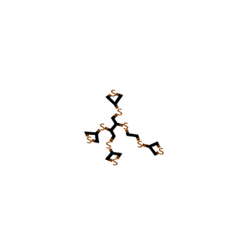 C(CSC(CSC1CSC1)C(CSC1CSC1)SC1CSC1)SC1CSC1